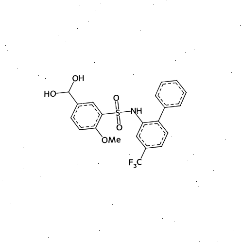 COc1ccc(C(O)O)cc1S(=O)(=O)Nc1cc(C(F)(F)F)ccc1-c1ccccc1